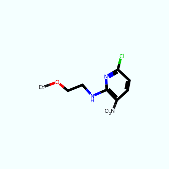 CCOCCNc1nc(Cl)ccc1[N+](=O)[O-]